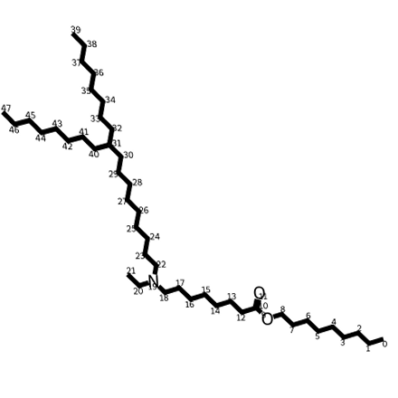 CCCCCCCCCOC(=O)CCCCCCCN(CC)CCCCCCCCCC(CCCCCCCC)CCCCCCCC